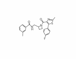 Cc1cccc(C(=O)NCC2CCN2C(=O)c2nc(C)sc2-c2ccc(F)cc2)c1